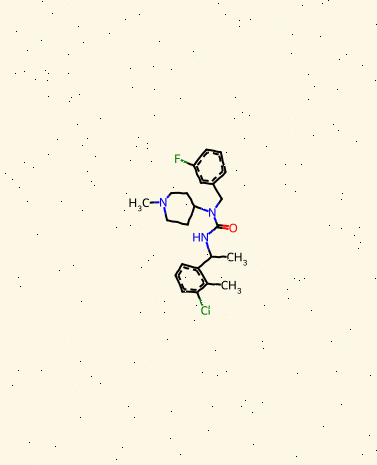 Cc1c(Cl)cccc1C(C)NC(=O)N(Cc1cccc(F)c1)C1CCN(C)CC1